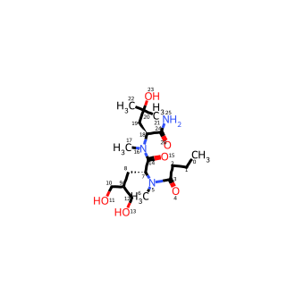 CCCC(=O)N(C)[C@H](CC(CO)CO)C(=O)N(C)[C@@H](CC(C)(C)O)C(N)=O